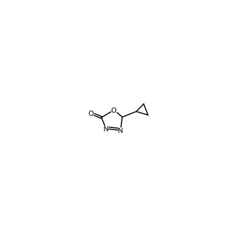 O=C1N=NC(C2CC2)O1